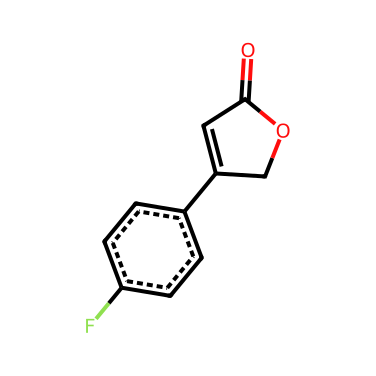 O=C1C=C(c2ccc(F)cc2)CO1